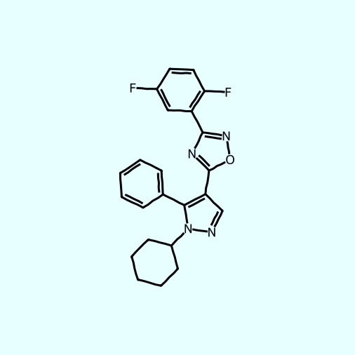 Fc1ccc(F)c(-c2noc(-c3cnn(C4CCCCC4)c3-c3ccccc3)n2)c1